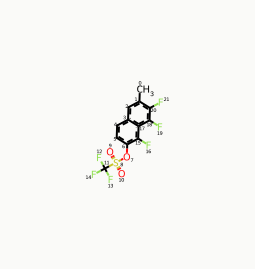 Cc1cc2ccc(OS(=O)(=O)C(F)(F)F)c(F)c2c(F)c1F